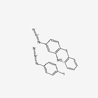 [N-]=[N+]=Nc1ccc(I)cc1.[N-]=[N+]=Nc1ccc(Sc2ccccc2)c([N+](=O)[O-])c1